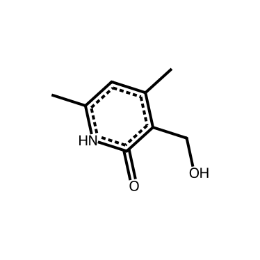 Cc1cc(C)c(CO)c(=O)[nH]1